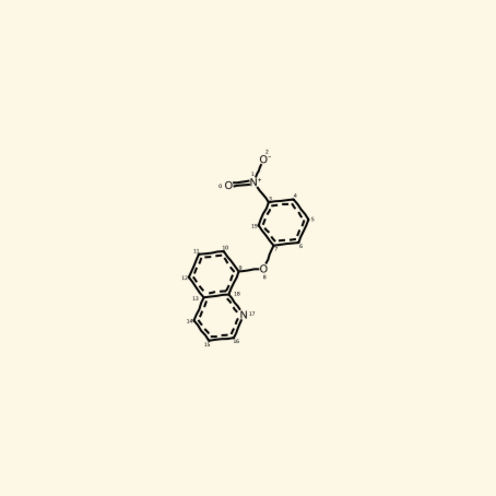 O=[N+]([O-])c1cccc(Oc2cccc3cccnc23)c1